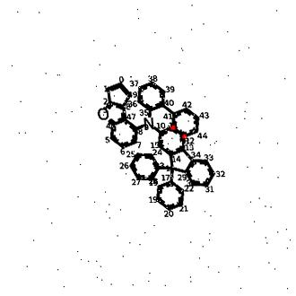 C1=Cc2oc3cccc(N(c4ccc5c(c4)C(c4ccccc4)(c4ccccc4)c4ccccc4-5)c4ccccc4-c4ccccc4)c3c2C=1